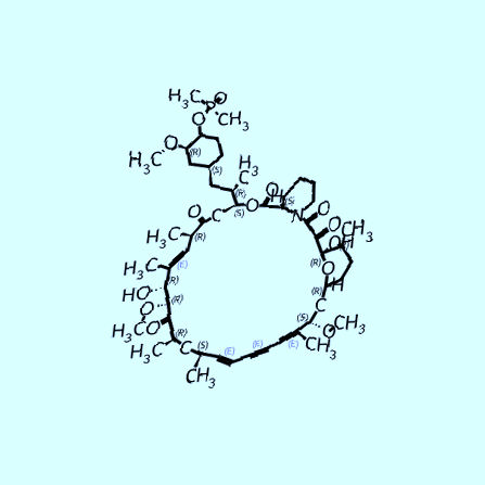 CO[C@H]1C[C@H]2CC[C@@H](C)[C@@](O)(O2)C(=O)C(=O)N2CCCC[C@H]2C(=O)O[C@H]([C@H](C)C[C@@H]2CCC(OP(C)(C)=O)[C@H](OC)C2)CC(=O)[C@H](C)/C=C(\C)[C@@H](O)[C@@H](OC)C(=O)[C@H](C)C[C@H](C)/C=C/C=C/C=C/1C